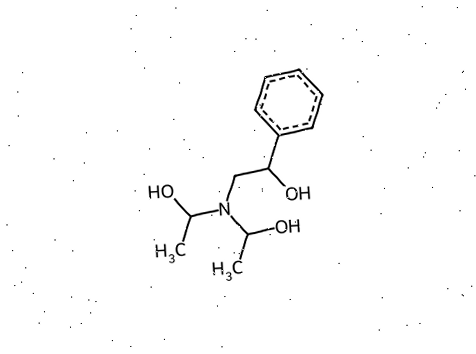 CC(O)N(CC(O)c1ccccc1)C(C)O